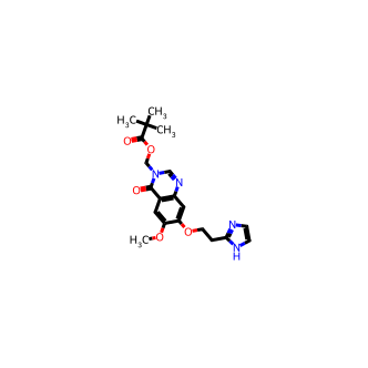 COc1cc2c(=O)n(COC(=O)C(C)(C)C)cnc2cc1OCCc1ncc[nH]1